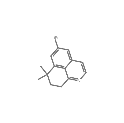 CC(C)c1cc2c3c(nccc3c1)CCC2(C)C